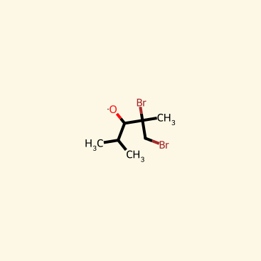 CC(C)C([O])C(C)(Br)CBr